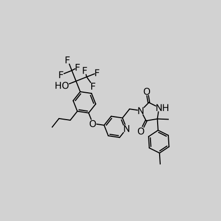 CCCc1cc(C(O)(C(F)(F)F)C(F)(F)F)ccc1Oc1ccnc(CN2C(=O)NC(C)(c3ccc(C)cc3)C2=O)c1